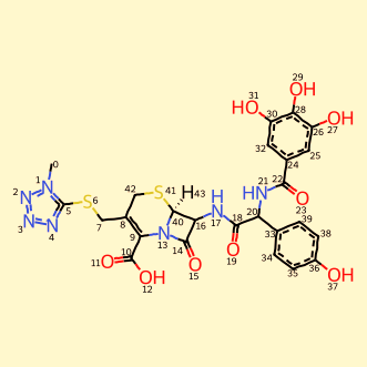 Cn1nnnc1SCC1=C(C(=O)O)N2C(=O)C(NC(=O)C(NC(=O)c3cc(O)c(O)c(O)c3)c3ccc(O)cc3)[C@@H]2SC1